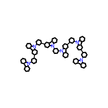 c1cc(-c2ccc3c(c2)c2ccccc2n3-c2cccc(-c3ccc4c(c3)c3ccccc3n4-c3cccc(-n4c5ccccc5c5cc(-c6cccc(-n7c8ccccc8c8cc(-c9cccc(-n%10c%11ccccc%11c%11ccccc%11%10)c9)ccc87)c6)ccc54)c3)c2)cc(-n2c3ccccc3c3ccccc32)c1